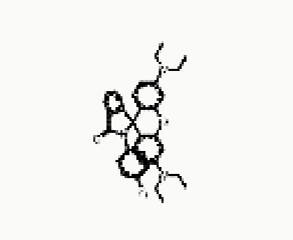 CCN(CC)c1ccc2c(c1)Oc1cc(N(CC)CC)ccc1C21c2ccccc2C(=O)N1c1ccc(Cl)cc1